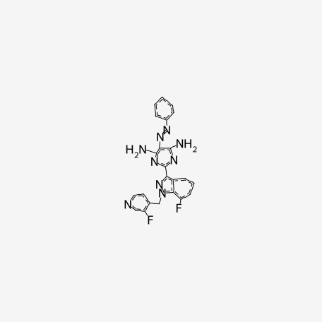 Nc1nc(-c2nn(Cc3ccncc3F)c3c(F)cccc23)nc(N)c1N=Nc1ccccc1